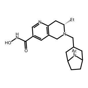 CC[C@H]1Cc2ncc(C(=O)NO)cc2CN1CC1CC2CCC(C1)N2C(C)=O